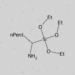 CCCCCC(N)[Si](OCC)(OCC)OCC